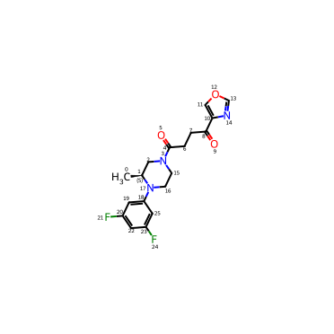 C[C@H]1CN(C(=O)CCC(=O)c2cocn2)CCN1c1cc(F)cc(F)c1